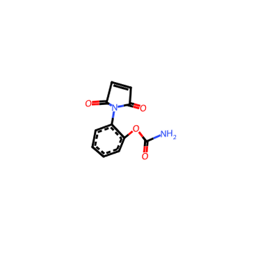 NC(=O)Oc1ccccc1N1C(=O)C=CC1=O